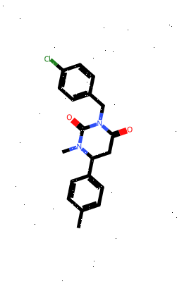 Cc1ccc(C2CC(=O)N(Cc3ccc(Cl)cc3)C(=O)N2C)cc1